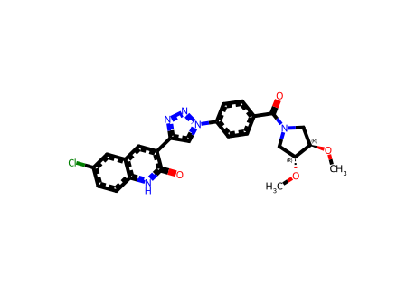 CO[C@@H]1CN(C(=O)c2ccc(-n3cc(-c4cc5cc(Cl)ccc5[nH]c4=O)nn3)cc2)C[C@H]1OC